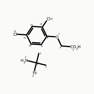 CCC(C)(C)N.O=C(O)COc1ccc(Cl)cc1Cl